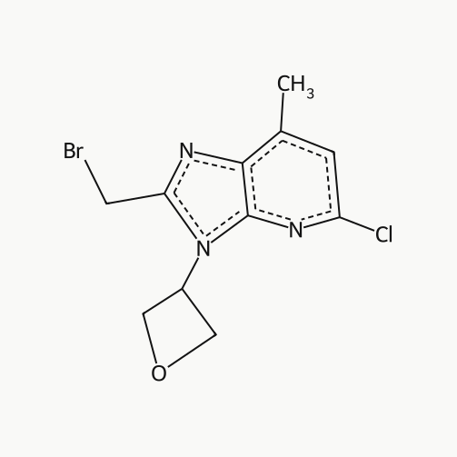 Cc1cc(Cl)nc2c1nc(CBr)n2C1COC1